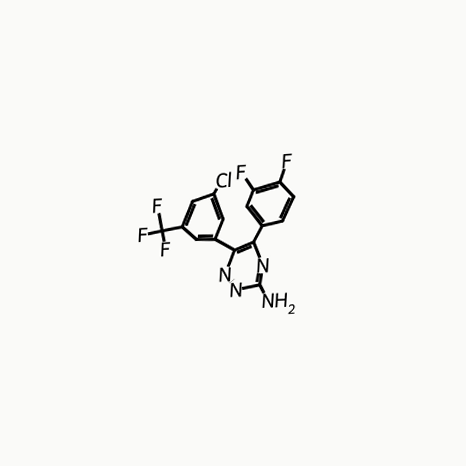 Nc1nnc(-c2cc(Cl)cc(C(F)(F)F)c2)c(-c2ccc(F)c(F)c2)n1